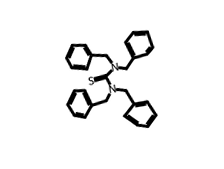 S=C(N(Cc1ccccc1)Cc1ccccc1)N(Cc1ccccc1)Cc1ccccc1